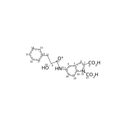 O=C(O)c1cc2cc(NC(=O)[C@H](O)Cc3ccccc3)ccc2n1C(=O)O